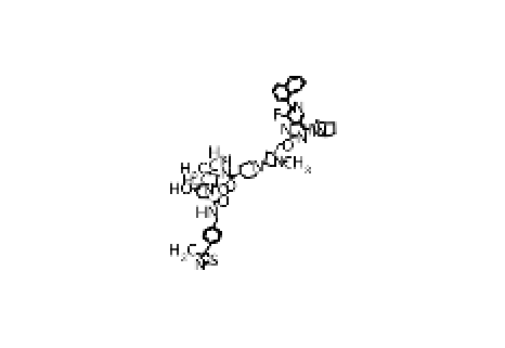 Cc1ncsc1-c1ccc(CNC(=O)[C@@H]2C[C@@H](O)CN2C(=O)[C@@H](NC(=O)C2CCN([C@H]3C[C@@H](COc4nc(N5CC6CCC(C5)N6)c5cnc(-c6cccc7ccccc67)c(F)c5n4)N(C)C3)CC2)C(C)(C)C)cc1